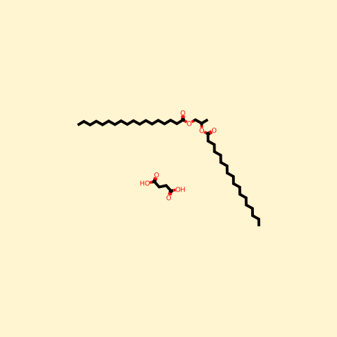 CCCCCCCCCCCCCCCCCC(=O)OCC(C)OC(=O)CCCCCCCCCCCCCCCCC.O=C(O)CCC(=O)O